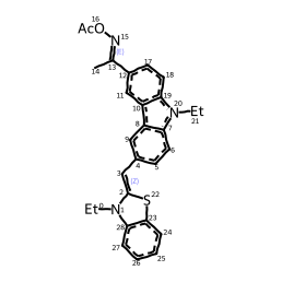 CCN1/C(=C/c2ccc3c(c2)c2cc(/C(C)=N/OC(C)=O)ccc2n3CC)Sc2ccccc21